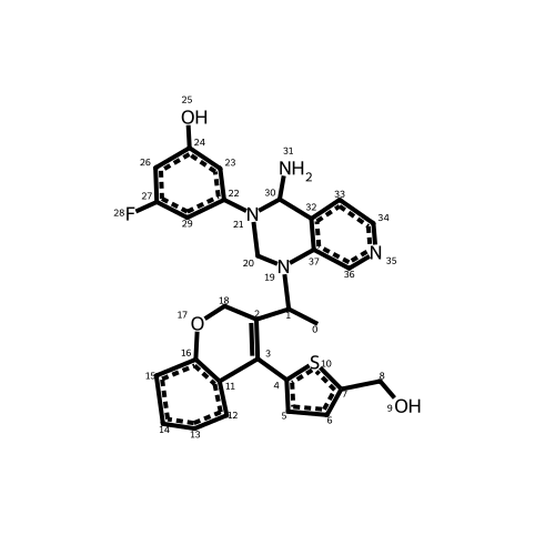 CC(C1=C(c2ccc(CO)s2)c2ccccc2OC1)N1CN(c2cc(O)cc(F)c2)C(N)c2ccncc21